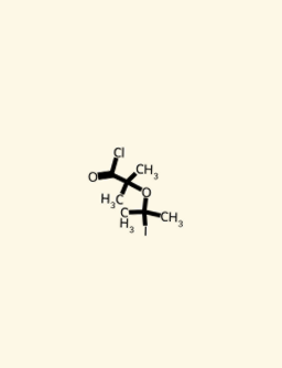 CC(C)(I)OC(C)(C)C(=O)Cl